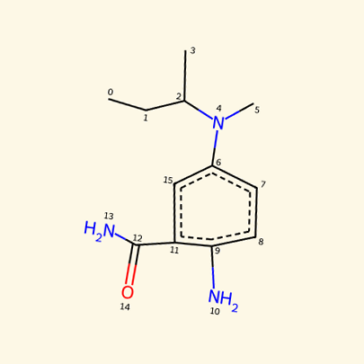 CCC(C)N(C)c1ccc(N)c(C(N)=O)c1